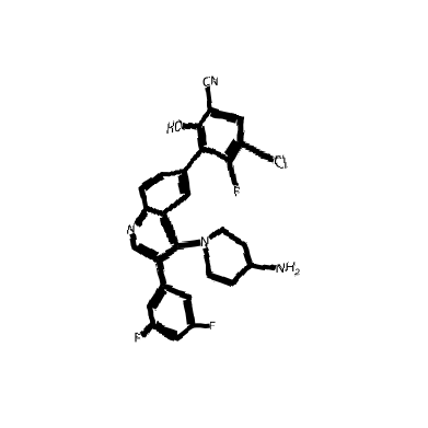 N#Cc1cc(Cl)c(F)c(-c2ccc3ncc(-c4cc(F)cc(F)c4)c(N4CCC(N)CC4)c3c2)c1O